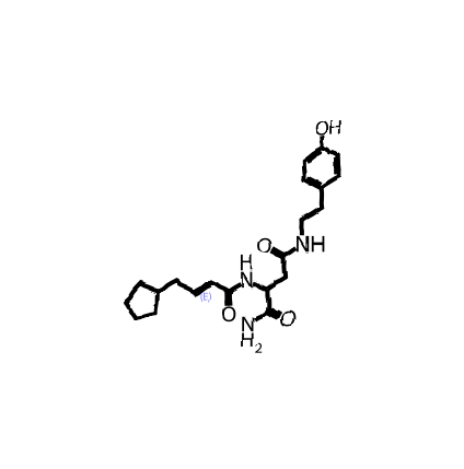 NC(=O)C(CC(=O)NCCc1ccc(O)cc1)NC(=O)/C=C/CC1CCCC1